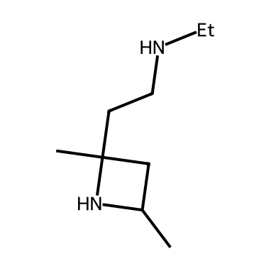 CCNCCC1(C)CC(C)N1